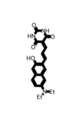 CCN(CC)c1ccc2cc(O)c(/C=C/C=C3C(=O)NC(=O)NC3=O)cc2c1